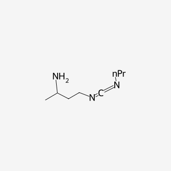 CCCN=C=NCCC(C)N